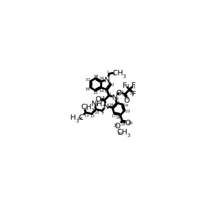 CCn1cc(C2C(=O)N(CC(N)CC(C)C)c3cc(C(=O)OC)ccc3N2OC(=O)C(F)(F)F)c2ccccc21